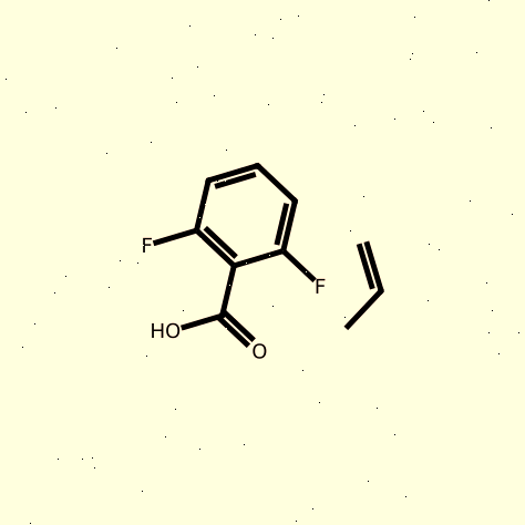 C=CC.O=C(O)c1c(F)cccc1F